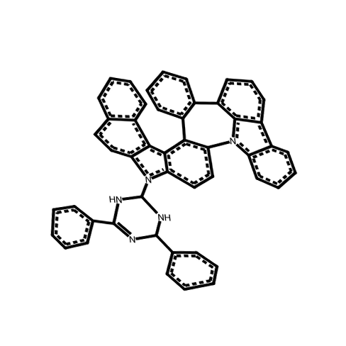 c1ccc(C2=NC(c3ccccc3)NC(n3c4ccc5c(c4c4c6ccccc6ccc43)-c3ccccc3-c3cccc4c6ccccc6n-5c34)N2)cc1